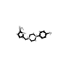 CC(=O)c1ccc(N2CCN(Cc3ccc([N+](=O)[O-])o3)CC2)cc1